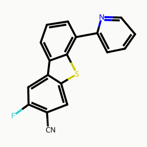 N#Cc1cc2sc3c(-c4ccccn4)cccc3c2cc1F